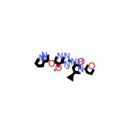 COc1c(Oc2cnn3ccccc23)cnc2nc(Nc3cc(C4CC4)cn([C@@H]4CCCOC4)c3=O)n(C)c12